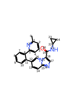 Cc1cccc(-c2ccccc2-c2ccc3ncc(C(=O)NC4CC4)n3c2)n1